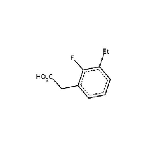 CCc1cccc(CC(=O)O)c1F